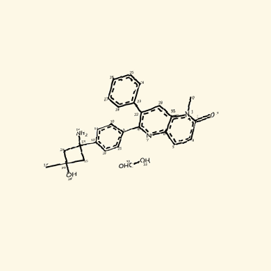 Cn1c(=O)ccc2nc(-c3ccc(C4(N)CC(C)(O)C4)cc3)c(-c3ccccc3)cc21.O=CO